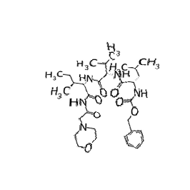 CC[C@H](C)[C@H](NC(=O)[C@@H](NC(=O)[C@H](CC(C)C)NC(=O)OCc1ccccc1)C(C)C)C(=O)NC(=O)CN1CCOCC1